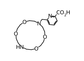 O=C(O)c1cccc(CN2CCOCCOCCNCCOCCOCC2)n1